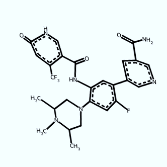 CC1CN(c2cc(F)c(-c3cncc(C(N)=O)c3)cc2NC(=O)c2c[nH]c(=O)cc2C(F)(F)F)CC(C)N1C